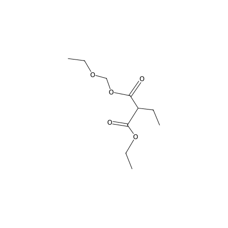 CCOCOC(=O)C(CC)C(=O)OCC